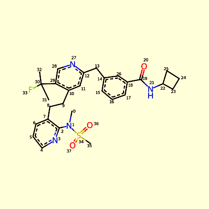 CN(c1ncccc1CCc1cc(Cc2cccc(C(=O)NC3CCC3)c2)ncc1C(C)(C)F)S(C)(=O)=O